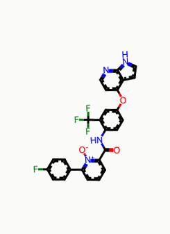 O=C(Nc1ccc(Oc2ccnc3[nH]ccc23)cc1C(F)(F)F)c1cccc(-c2ccc(F)cc2)[n+]1[O-]